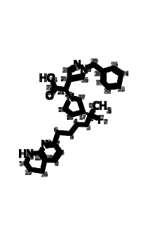 CC(F)(CCCCc1ccc2c(n1)NCCC2)[C@@H]1CCN([C@@H](C(=O)O)c2cnn(Cc3ccccc3)c2)C1